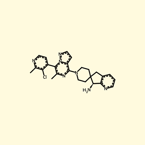 Cc1nccc(-c2c(C)nc(N3CCC4(CC3)Cc3cccnc3[C@H]4N)c3ccnn23)c1Cl